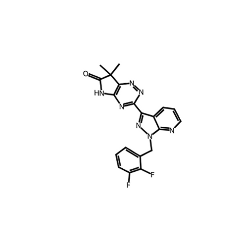 CC1(C)C(=O)Nc2nc(-c3nn(Cc4cccc(F)c4F)c4ncccc34)nnc21